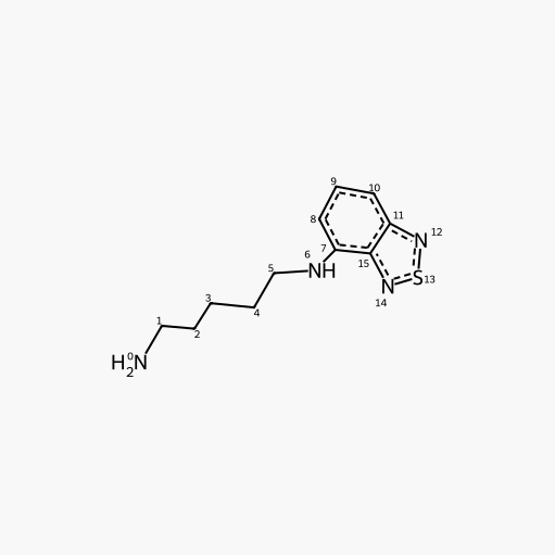 NCCCCCNc1cccc2nsnc12